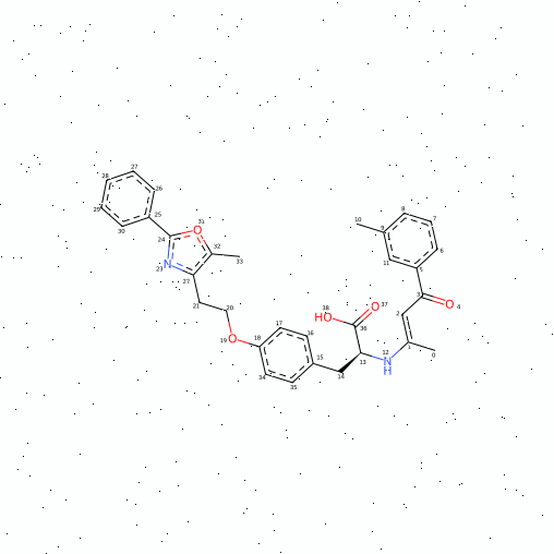 C/C(=C\C(=O)c1cccc(C)c1)N[C@@H](Cc1ccc(OCCc2nc(-c3ccccc3)oc2C)cc1)C(=O)O